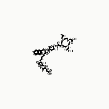 CC(=O)CN1CCN(CC(=O)O)CCN(CC(=O)O)CCN(CC(=O)NC[C@H]2CC[C@H](C(=O)N[C@@H](Cc3ccc4ccccc4c3)C(=O)NCCCC[C@H](NC(=O)N[C@@H](CCC(=O)O)C(=O)O)C(=O)O)CC2)CC1